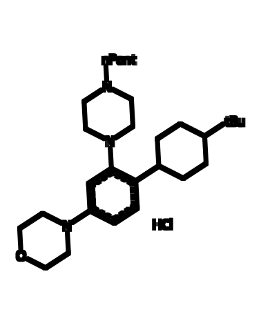 CCCCCN1CCN(c2cc(N3CCOCC3)ccc2C2CCC(C(C)(C)C)CC2)CC1.Cl